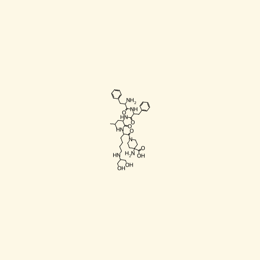 CC(C)CC(NC(=O)C(Cc1ccccc1)NC(=O)C(N)Cc1ccccc1)C(=O)NC(CCCCNC(CO)CO)C(=O)N1CCC(N)(C(=O)O)CC1